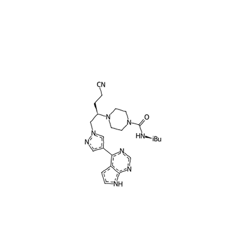 CC[C@H](C)NC(=O)N1CCN([C@H](CCC#N)Cn2cc(-c3ncnc4[nH]ccc34)cn2)CC1